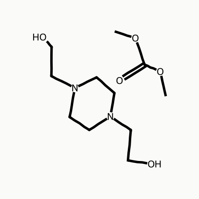 COC(=O)OC.OCCN1CCN(CCO)CC1